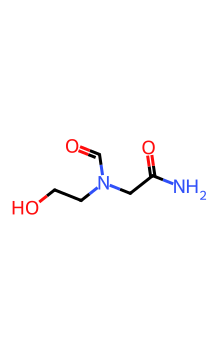 NC(=O)CN(C=O)CCO